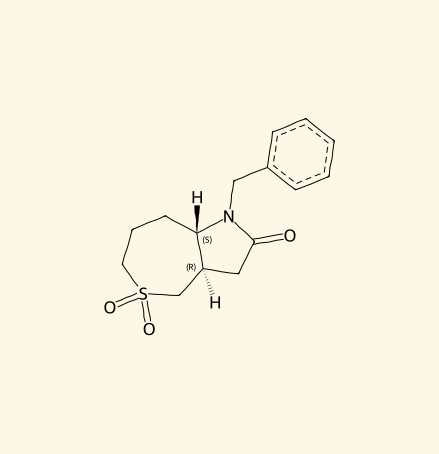 O=C1C[C@H]2CS(=O)(=O)CCC[C@@H]2N1Cc1ccccc1